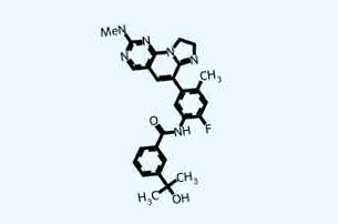 CNc1ncc2c(n1)N1CCN=C1C(c1cc(NC(=O)c3cccc(C(C)(C)O)c3)c(F)cc1C)=C2